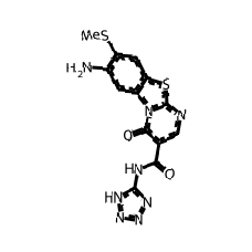 CSc1cc2sc3ncc(C(=O)Nc4nnn[nH]4)c(=O)n3c2cc1N